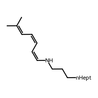 CCCCCCCCCCN/C=C\C=C/C=C(C)C